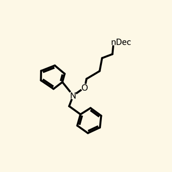 CCCCCCCCCCCCCCON(Cc1ccccc1)c1ccccc1